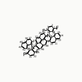 Fc1ccc(F)c(N(c2cccc3ccccc23)c2ccc3ccc4c(N(c5cc(F)ccc5F)c5cccc6ccccc56)ccc5ccc2c3c54)c1